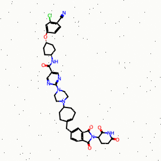 N#Cc1ccc(O[C@H]2CC[C@H](NC(=O)c3cnc(N4CCN(C5CCC=C(Cc6ccc7c(c6)C(=O)N(C6CCC(=O)NC6=O)C7=O)CC5)CC4)nc3)CC2)cc1Cl